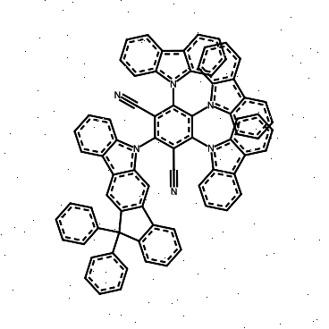 N#Cc1c(-n2c3ccccc3c3cc4c(cc32)-c2ccccc2C4(c2ccccc2)c2ccccc2)c(C#N)c(-n2c3ccccc3c3ccccc32)c(-n2c3ccccc3c3ccccc32)c1-n1c2ccccc2c2ccccc21